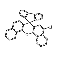 Clc1cc2c(c3ccccc13)Oc1c(ccc3ccccc13)C21c2ccccc2-c2ccccc21